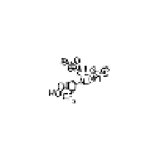 CCC(C)S(=O)(=O)NC[C@H]1CN(S(=O)(=O)c2cccs2)CCN1c1ccc(C(C)(O)C(F)(F)F)cc1